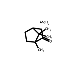 CC12CCC(CC1=O)C2(C)C.[MgH2]